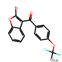 CCc1oc2ccccc2c1C(=O)c1ccc(OC(F)(F)C(=O)O)cc1